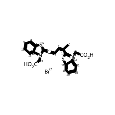 CC(=CC=C=C1Sc2ccccc2N1CC(=O)O)c1sc2ccccc2[n+]1CC(=O)O.[Br-]